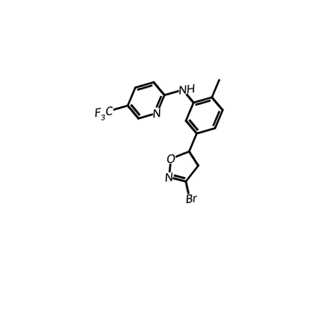 Cc1ccc(C2CC(Br)=NO2)cc1Nc1ccc(C(F)(F)F)cn1